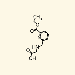 CCOC(=O)c1cccc(CNCC(=O)O)n1